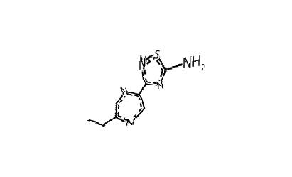 CCc1cnc(-c2nsc(N)n2)cn1